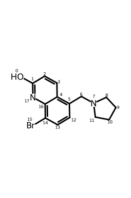 Oc1ccc2c(CN3CCCC3)ccc(Br)c2n1